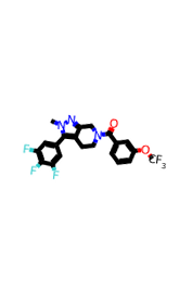 Cn1nc2c(c1-c1cc(F)c(F)c(F)c1)CCN(C(=O)c1cccc(OC(F)(F)F)c1)C2